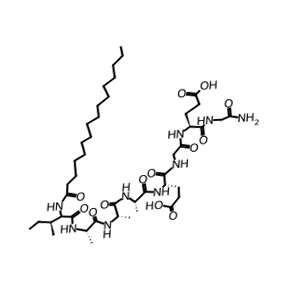 CCCCCCCCCCCCCCCC(=O)NC(C(=O)N[C@@H](C)C(=O)N[C@@H](C)C(=O)N[C@@H](C)C(=O)N[C@@H](CCC(=O)O)C(=O)NCC(=O)N[C@@H](CCC(=O)O)C(=O)NCC(N)=O)[C@@H](C)CC